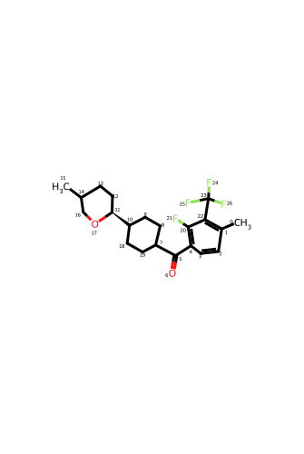 Cc1ccc(C(=O)C2CCC([C@@H]3CCC(C)CO3)CC2)c(F)c1C(F)(F)F